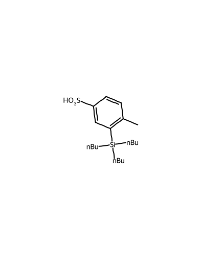 CCCC[Si](CCCC)(CCCC)c1cc(S(=O)(=O)O)ccc1C